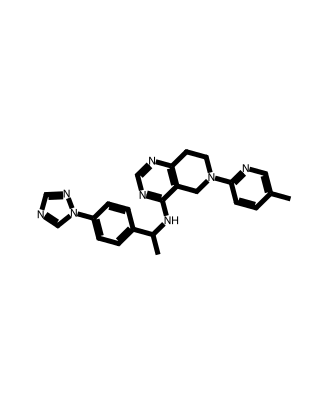 Cc1ccc(N2CCc3ncnc(NC(C)c4ccc(-n5cncn5)cc4)c3C2)nc1